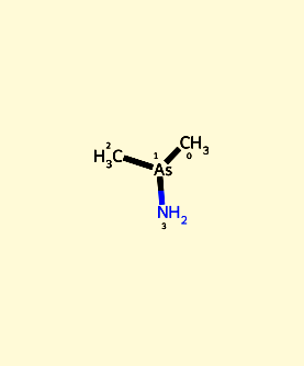 C[As](C)N